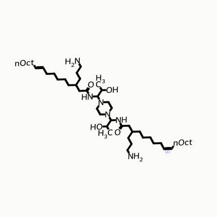 CCCCCCCCC=CCCCCCC(CCCN)CC(=O)NC(C(C)O)N1CCN(C(NC(=O)CC(CCCN)CCCCC/C=C\CCCCCCCC)C(C)O)CC1